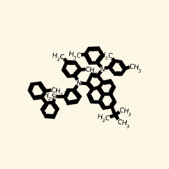 Cc1cccc(N(c2ccc(C)cc2C)c2cc(N(c3cccc([SiH2]c4ccccc4-c4ccccc4C)c3)c3ccc(C)cc3C)c3ccc4cc(C(C)(C)C)cc5ccc2c3c54)c1